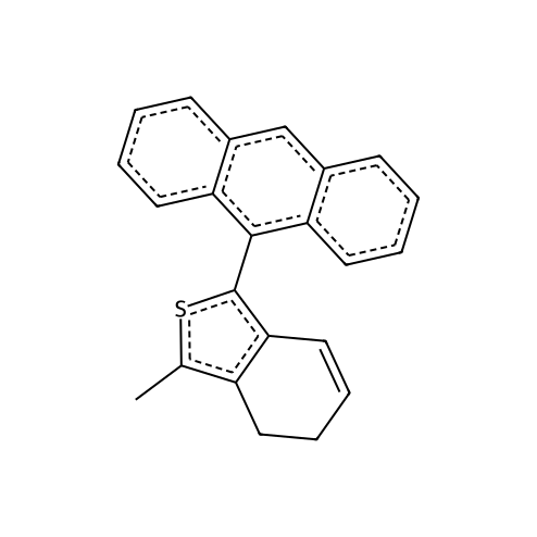 Cc1sc(-c2c3ccccc3cc3ccccc23)c2c1CCC=C2